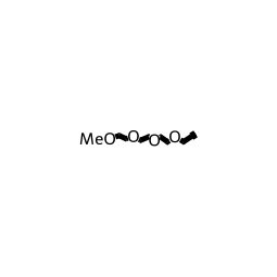 C#CCOCCOCCOCCOC